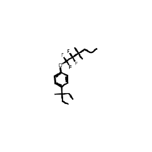 CCCC(C)(C)C(F)(F)C(F)(F)Oc1ccc(C(C)(CC)CC)cc1